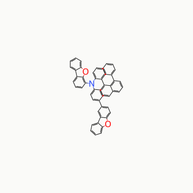 c1ccc(-c2cccc3cccc(-c4ccccc4N(c4ccc(-c5ccc6oc7ccccc7c6c5)cc4)c4cccc5c4oc4ccccc45)c23)cc1